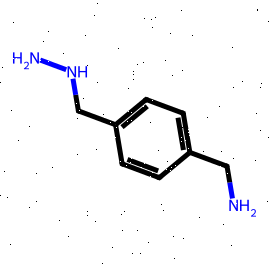 NCc1ccc(CNN)cc1